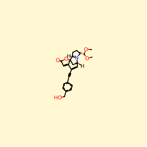 COC(OC)[C@H]1CC[C@H]2N1[C@@H]1C=C(C#Cc3ccc(CO)cc3)C3=CC(=O)O[C@@]32C1